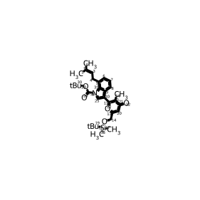 CC(C)=CCc1cccc2c(-c3oc(CO[Si](C)(C)C(C)(C)C)cc(=O)c3C)cn(C(=O)OC(C)(C)C)c12